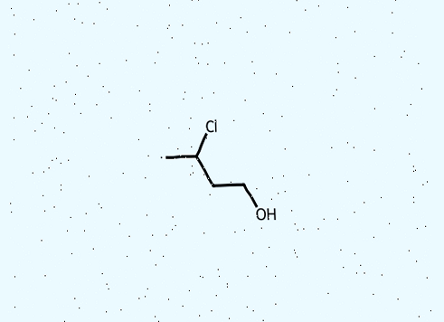 [CH2]C(Cl)CCO